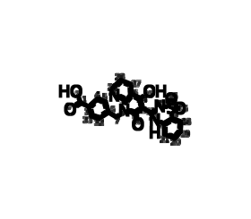 O=C(O)c1ccc(Cn2c(=O)c(C3=NS(=O)(=O)c4ccccc4N3)c(O)c3cccnc32)cc1